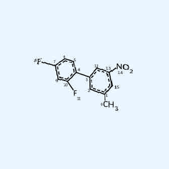 Cc1cc(-c2ccc(F)cc2F)cc([N+](=O)[O-])c1